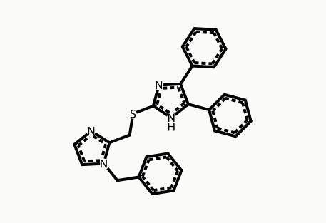 c1ccc(Cn2ccnc2CSc2nc(-c3ccccc3)c(-c3ccccc3)[nH]2)cc1